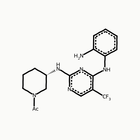 CC(=O)N1CCC[C@H](Nc2ncc(C(F)(F)F)c(Nc3ccccc3N)n2)C1